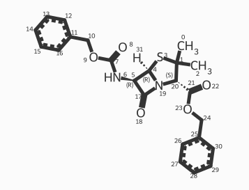 CC1(C)S[C@@H]2[C@H](NC(=O)OCc3ccccc3)C(=O)N2[C@H]1C(=O)OCc1ccccc1